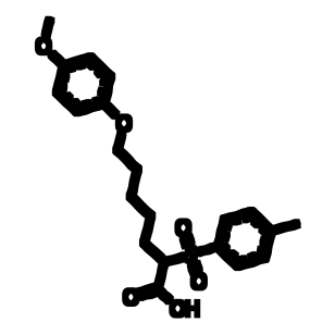 COc1ccc(OCCCCCC(C(=O)O)S(=O)(=O)c2ccc(C)cc2)cc1